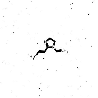 C=CN1CCN=C1C=CC